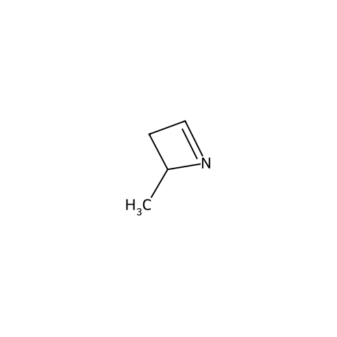 CC1CC=N1